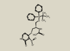 CC(C)(C)[Si](OC[C@H](CSc1cc[nH]c(=O)c1[N+](=O)[O-])NC(=O)O)(c1ccccc1)c1ccccc1